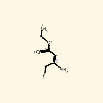 CCOC(=O)/C=C(/N)CF